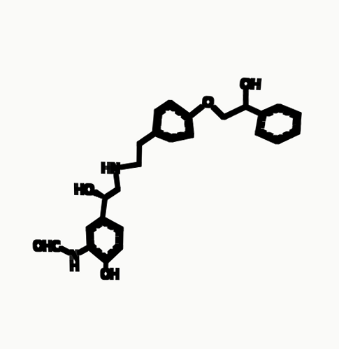 O=CNc1cc([C@@H](O)CNCCc2ccc(OCC(O)c3ccccc3)cc2)ccc1O